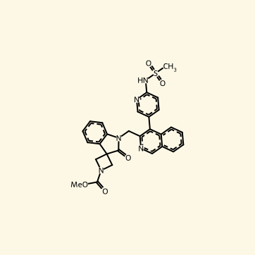 COC(=O)N1CC2(C1)C(=O)N(Cc1ncc3ccccc3c1-c1ccc(NS(C)(=O)=O)nc1)c1ccccc12